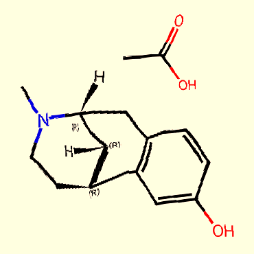 CC(=O)O.CN1CC[C@]23CCCC[C@H]2[C@H]1Cc1ccc(O)cc13